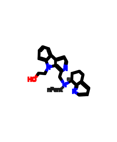 CCCCCN(Cc1nccc2c3ccccc3n(CCO)c12)[C@H]1CCCc2cccnc21